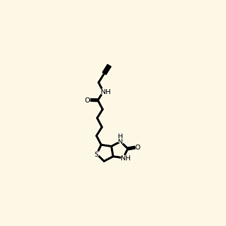 C#CCNC(=O)CCCCC1SCC2NC(=O)NC21